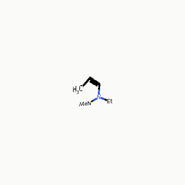 C/C=C\N(CC)NC